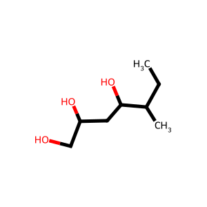 CCC(C)C(O)CC(O)CO